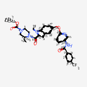 C[C@H]1CN(C(=O)OC(C)(C)C)CCN1C(=O)c1cc2cc(Oc3ccc(NC(=O)c4ccc(C(F)(F)F)cc4)cn3)ccc2n1C